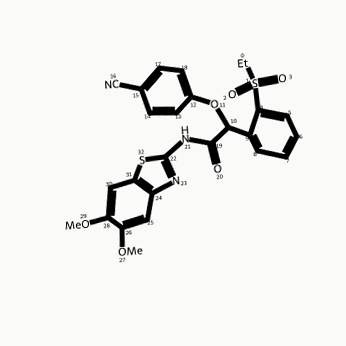 CCS(=O)(=O)c1ccccc1C(Oc1ccc(C#N)cc1)C(=O)Nc1nc2cc(OC)c(OC)cc2s1